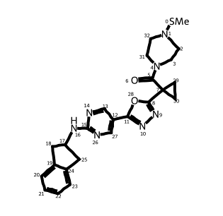 CSN1CCN(C(=O)C2(c3nnc(-c4cnc(NC5Cc6ccccc6C5)nc4)o3)CC2)CC1